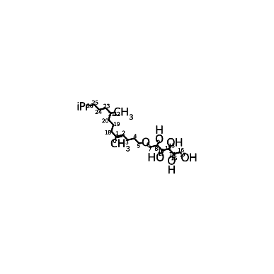 CC(=CCCCOC[C@@H](O)[C@@H](O)[C@H](O)[C@H](O)CO)CCCC(C)CCCC(C)C